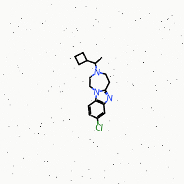 CC(C1CCC1)N1CCc2nc3cc(Cl)ccc3n2CC1